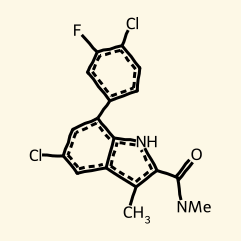 CNC(=O)c1[nH]c2c(-c3ccc(Cl)c(F)c3)cc(Cl)cc2c1C